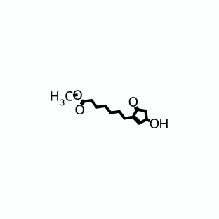 COC(=O)CCCCCCC1=CC(O)CC1=O